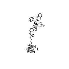 CC(C)C[C@@H](NC(=O)[C@@H](Cc1ccccc1)NC(=O)c1cnccn1)B1Oc2ccc(N(C)C(=O)CCCCC(=O)NC(P(=O)(O)O)P(=O)(O)O)cc2O1